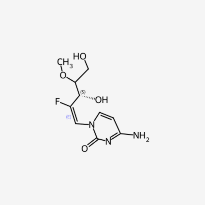 COC(CO)[C@H](O)/C(F)=C\n1ccc(N)nc1=O